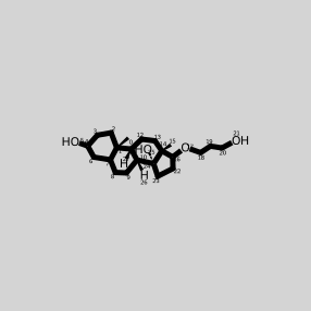 C[C@]12CCC(O)CC1CC[C@@H]1[C@H]2CC[C@]2(C)C(OCCCO)CC[C@@]12O